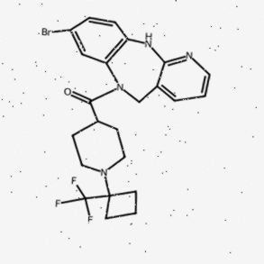 O=C(C1CCN(C2(C(F)(F)F)CCC2)CC1)N1Cc2cccnc2Nc2ccc(Br)cc21